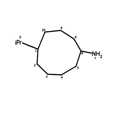 CC(C)C1CCCCC(N)CCC1